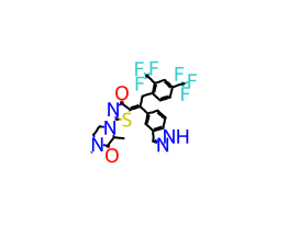 CC1C(=O)N(C)CCN1C1=NC(=O)C(=C(Cc2ccc(C(F)(F)F)cc2C(F)(F)F)c2ccc3[nH]ncc3c2)S1